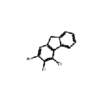 CCc1c(Br)[c]c2c(c1CC)-c1ccccc1C2